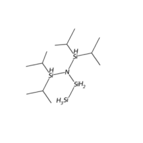 CC(C)[SiH](C(C)C)N([SiH2][SiH3])[SiH](C(C)C)C(C)C